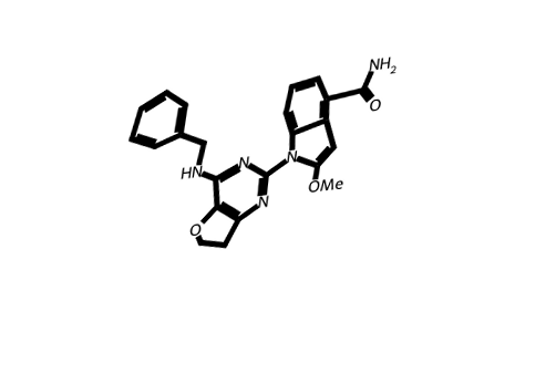 COc1cc2c(C(N)=O)cccc2n1-c1nc2c(c(NCc3ccccc3)n1)OCC2